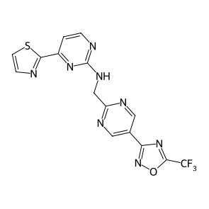 FC(F)(F)c1nc(-c2cnc(CNc3nccc(-c4nccs4)n3)nc2)no1